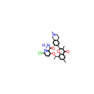 Cc1cc([C@@H](C)Oc2ccc(Cl)nc2C(N)=O)c2oc(-c3ccc4c(c3)CCN(C)C4)c(C)c(=O)c2c1